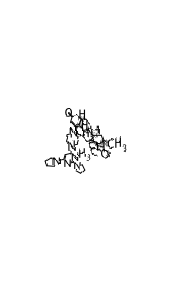 CC(=O)[C@H]1[C@H](C)C[C@H]2[C@@H]3CC[C@H]4CC(=O)C=C(N5CCN(c6cc(N7CCCC7)nc(N7CCCC7)n6)CC5)[C@]4(C)C3=CC[C@@]21C